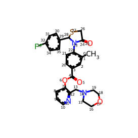 Cc1cc(C(=O)Oc2cccnc2CN2CCOCC2)ccc1N1C(=O)CSC1c1ccc(F)cc1